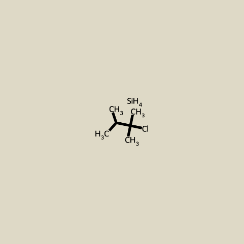 CC(C)C(C)(C)Cl.[SiH4]